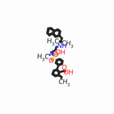 CCc1cccc(-c2cccc(S(=O)(=O)N(C)CC(O)CNC(C)(C)Cc3ccc4ccccc4c3)c2)c1C(=O)O